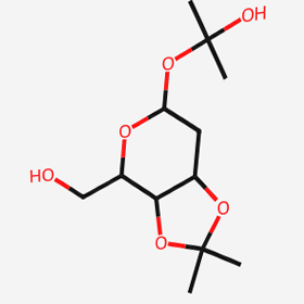 CC(C)(O)OC1CC2OC(C)(C)OC2C(CO)O1